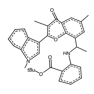 Cc1cc(C(C)Nc2ccccc2C(=O)OC(C)(C)C)c2oc(-c3cn(C)c4ccccc34)c(C)c(=O)c2c1